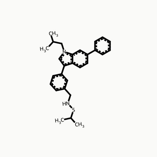 CC(C)Cn1cc(-c2cccc(CNSC(C)C)c2)c2ccc(-c3ccccc3)cc21